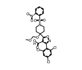 COCOC1(c2onc(-c3c(Cl)cc(Cl)cc3Cl)c2C(=O)O)CCN(S(=O)(=O)c2ccccc2[N+](=O)[O-])CC1